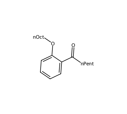 [CH2]CCCCC(=O)c1ccccc1OCCCCCCCC